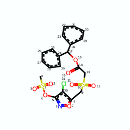 CS(=O)(=O)Oc1noc(CS(=O)(=O)CC(=O)OC(c2ccccc2)c2ccccc2)c1Cl